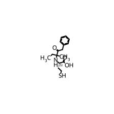 CCC(C)(N[C@@H](CCS)C(=O)O)C(=O)Cc1ccccc1